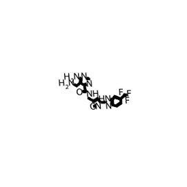 NCc1c(N)ncnc1C(=O)NCc1cc(-c2nc3ccc(C(F)(F)F)cc3[nH]2)no1